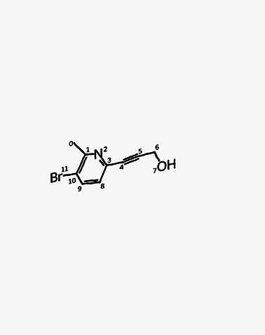 Cc1nc(C#CCO)ccc1Br